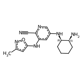 Cc1cc(Nc2cc(N[C@@H]3CCCC[C@@H]3N)cnc2C#N)on1